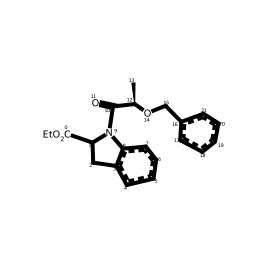 CCOC(=O)C1Cc2ccccc2N1C(=O)[C@@H](C)OCc1ccccc1